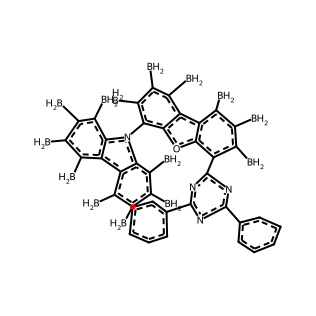 Bc1c(B)c(B)c2c(oc3c(-n4c5c(B)c(B)c(B)c(B)c5c5c(B)c(B)c(B)c(B)c54)c(B)c(B)c(B)c32)c1-c1nc(-c2ccccc2)nc(-c2ccccc2)n1